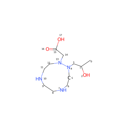 CC(O)CN1CCNCCNCCN1CC(=O)O